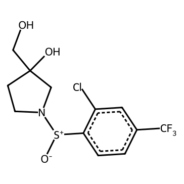 [O-][S+](c1ccc(C(F)(F)F)cc1Cl)N1CCC(O)(CO)C1